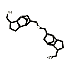 OCC1CCC2C3CC(CC3COCC3CC4CC3C3CCC(CO)C43)C12